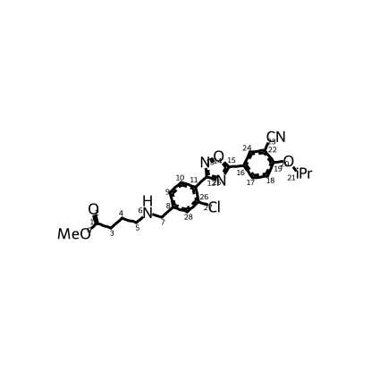 COC(=O)CCCNCc1ccc(-c2noc(-c3ccc(OC(C)C)c(C#N)c3)n2)c(Cl)c1